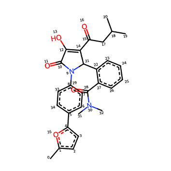 Cc1ccc(-c2ccc(N3C(=O)C(O)=C(C(=O)CC(C)C)C3c3ccccc3C(=O)N(C)C)cc2)o1